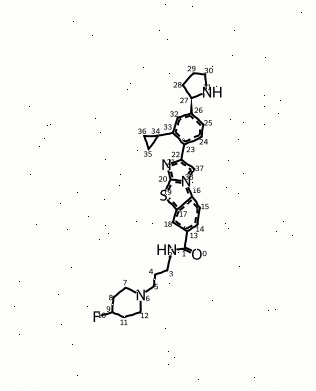 O=C(NCCCN1CCC(F)CC1)c1ccc2c(c1)sc1nc(-c3ccc([C@H]4CCCN4)cc3C3CC3)cn12